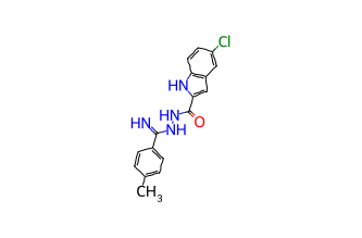 Cc1ccc(C(=N)NNC(=O)c2cc3cc(Cl)ccc3[nH]2)cc1